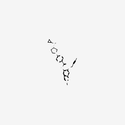 CC#CCOc1cc2nn(C)cc2cc1NC(=O)c1cnc(N2CC[C@@H](N(C(=O)O)C3CC3)C2)cn1